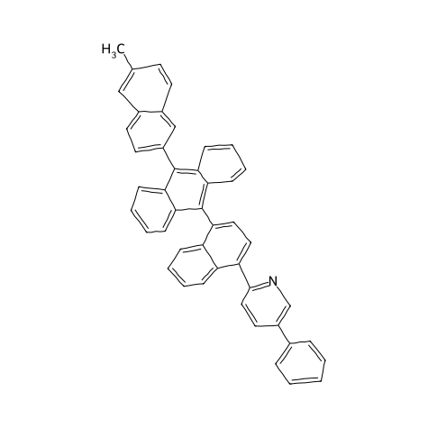 Cc1ccc2cc(-c3c4ccccc4c(-c4ccc(-c5ccc(-c6ccccc6)cn5)c5ccccc45)c4ccccc34)ccc2c1